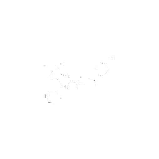 CCc1nc2c(C3CNCCO3)nc(S(=O)(=O)CCC(=O)c3ccc(C)cc3)nc2n1C